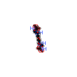 COC(=O)N[C@H](C(=O)N1CCC[C@H]1c1nc(C)c(-c2ccc(-c3ccc(-c4nc([C@@H]5CCCN5C(=O)[C@@H](NC(=O)OC)[C@@H](C)OC)[nH]c4C)cc3)cc2)[nH]1)[C@H](C)OC